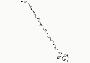 C=C(C)C(=O)OCCOCCOCCOCCOCCOCCOCCOCCOCCOC